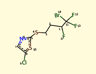 FC(CCSc1ncc(Cl)s1)C(F)(F)Br